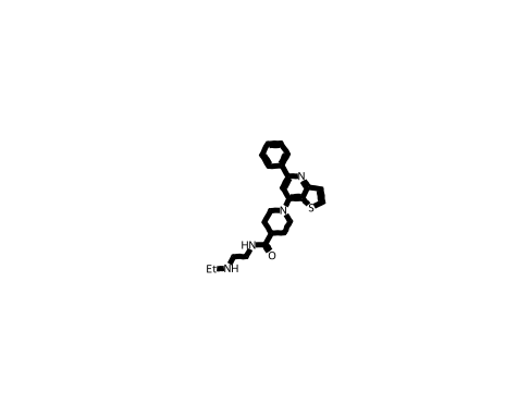 CCNCCNC(=O)C1CCN(c2cc(-c3ccccc3)nc3ccsc23)CC1